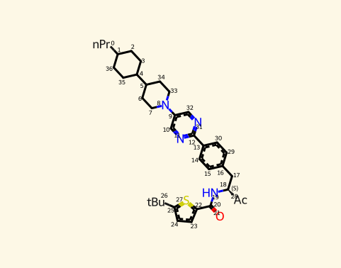 CCCC1CCC(C2CCN(c3cnc(-c4ccc(C[C@H](NC(=O)c5ccc(C(C)(C)C)s5)C(C)=O)cc4)nc3)CC2)CC1